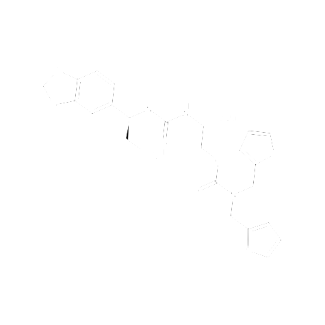 CCCC[C@H](COC(=O)N(Cc1cccs1)Cc1cccs1)NC(=O)N[C@@H](CC(=O)O)c1ccc2c(c1)OCO2